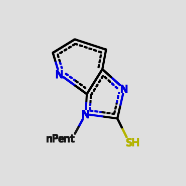 CCCCCn1c(S)nc2cccnc21